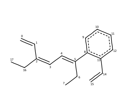 C=C/C(=C\C=C(/CC)c1ccccc1C=C)CC